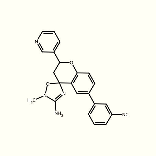 [C-]#[N+]c1cccc(-c2ccc3c(c2)C2(CC(c4cccnc4)O3)N=C(N)N(C)O2)c1